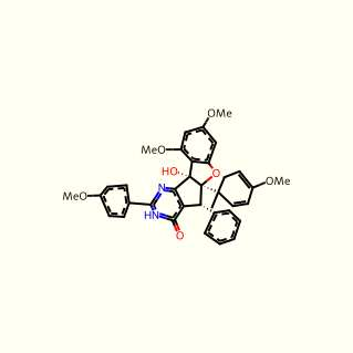 COC1=CCC(C)([C@@]23Oc4cc(OC)cc(OC)c4[C@]2(O)c2nc(-c4ccc(OC)cc4)[nH]c(=O)c2[C@H]3c2ccccc2)C=C1